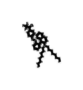 CCCCCCCCN(CCCCCCCC)c1ccc2ccccc2c1-c1ccccc1N=Nc1ccc(C(=O)C(F)(F)F)cc1